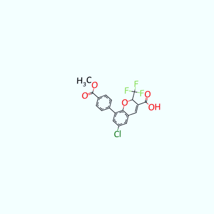 COC(=O)c1ccc(-c2cc(Cl)cc3c2OC(C(F)(F)F)C(C(=O)O)=C3)cc1